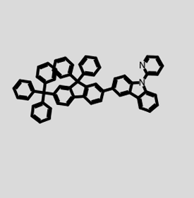 c1ccc(C(c2ccccc2)(c2ccccc2)c2ccc3c(c2)C(c2ccccc2)(c2ccccc2)c2cc(-c4ccc5c(c4)c4ccccc4n5-c4ccccn4)ccc2-3)cc1